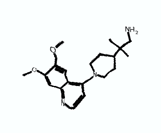 COc1cc2nccc(N3CCC(C(C)(C)CN)CC3)c2cc1OC